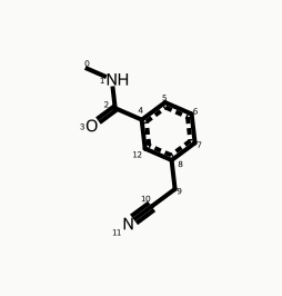 CNC(=O)c1cccc(CC#N)c1